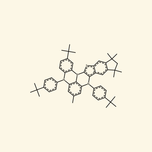 Cc1cc2c3c(c1)N(c1ccc(C(C)(C)C)cc1)c1c(sc4cc5c(cc14)C(C)(C)CC5(C)C)B3c1cc(C(C)(C)C)ccc1N2c1ccc(C(C)(C)C)cc1